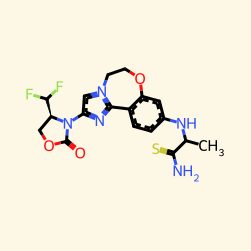 CC(Nc1ccc2c(c1)OCCn1cc(N3C(=O)OC[C@H]3C(F)F)nc1-2)C(N)=S